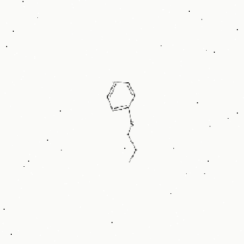 CCCSc1cc[c]cc1